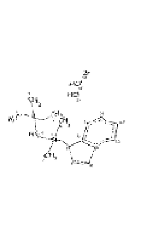 CC(C)(C)N[Si](C)(C)C1C=Cc2ccccc21.Cl.Cl.[Zr]